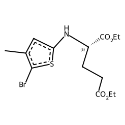 CCOC(=O)CC[C@H](Nc1cc(C)c(Br)s1)C(=O)OCC